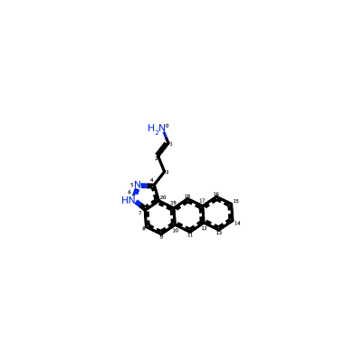 NC=CCc1n[nH]c2ccc3cc4ccccc4cc3c12